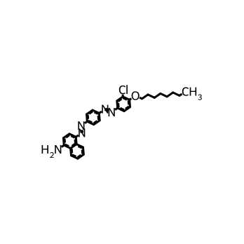 CCCCCCCCOc1ccc(N=Nc2ccc(N=Nc3ccc(N)c4ccccc34)cc2)cc1Cl